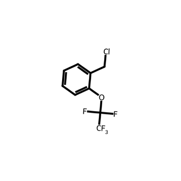 FC(F)(F)C(F)(F)Oc1ccccc1CCl